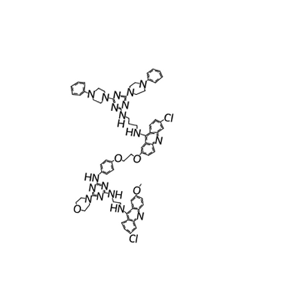 COc1ccc2nc3cc(Cl)ccc3c(NCCNc3nc(Nc4ccc(OCCOc5ccc6nc7cc(Cl)ccc7c(NCCCNc7nc(N8CCN(c9ccccc9)CC8)nc(N8CCN(c9ccccc9)CC8)n7)c6c5)cc4)nc(N4CCOCC4)n3)c2c1